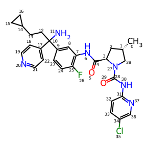 C[C@H]1C[C@H](C(=O)Nc2cc(C(N)(CCC3CC3)c3ccncc3)ccc2F)N(C(=O)Nc2ccc(Cl)cn2)C1